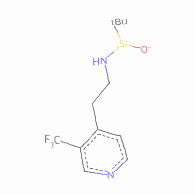 CC(C)(C)[S+]([O-])NCCc1ccncc1C(F)(F)F